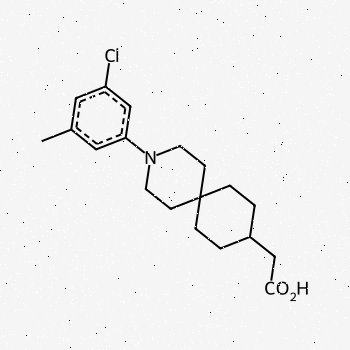 Cc1cc(Cl)cc(N2CCC3(CCC(CC(=O)O)CC3)CC2)c1